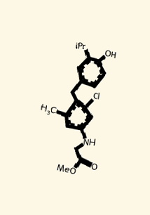 COC(=O)CNc1cc(C)c(Cc2ccc(O)c(C(C)C)c2)c(Cl)c1